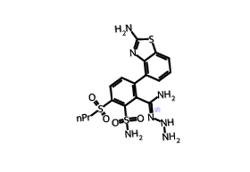 CCCS(=O)(=O)c1ccc(-c2cccc3sc(N)nc23)c(/C(N)=N/NN)c1S(N)(=O)=O